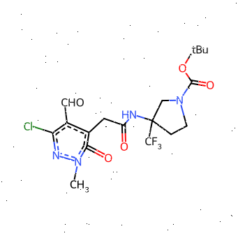 Cn1nc(Cl)c(C=O)c(CC(=O)NC2(C(F)(F)F)CCN(C(=O)OC(C)(C)C)C2)c1=O